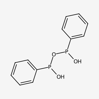 OP(OP(O)c1ccccc1)c1ccccc1